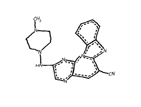 CN1CCN(Nc2cnc3cc(C#N)c4nc5ccccc5n4c3n2)CC1